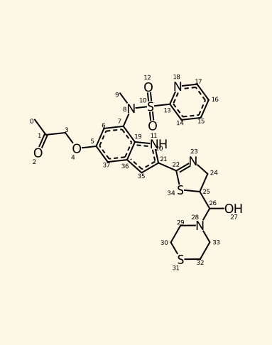 CC(=O)COc1cc(N(C)S(=O)(=O)c2ccccn2)c2[nH]c(C3=NCC(C(O)N4CCSCC4)S3)cc2c1